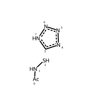 CC(=O)NS.c1nnn[nH]1